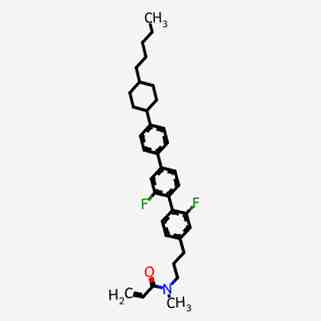 C=CC(=O)N(C)CCCc1ccc(-c2ccc(-c3ccc(C4CCC(CCCCC)CC4)cc3)cc2F)c(F)c1